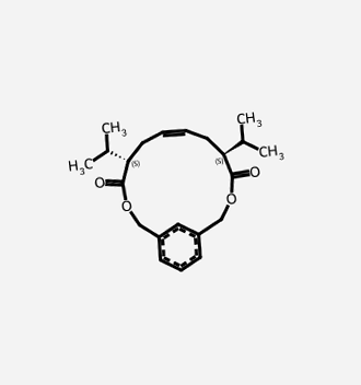 CC(C)[C@@H]1CC=CC[C@@H](C(C)C)C(=O)OCc2cccc(c2)COC1=O